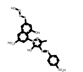 Cc1nn(-c2cc(S(=O)(=O)O)cc3cc(SOOO)cc(O)c23)c(O)c1/N=N/c1ccc(S(=O)(=O)O)cc1